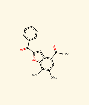 COC(=O)c1cc(OC)c(OC)c2oc(C(=O)c3ccccc3)cc12